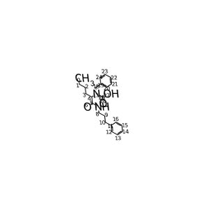 CCCCC(C(=O)NCCCc1ccccc1)N(Cc1ccccc1)C(=O)O